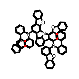 c1ccc(-c2ccccc2N(c2cccc3c2oc2ccccc23)c2cc3c4ccccc4oc3c3c2c2cccc4c5c(N(c6ccccc6-c6ccccc6)c6cccc7c6oc6ccccc67)cc6c7ccccc7oc6c5n3c24)cc1